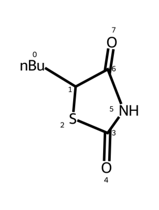 CCCCC1SC(=O)NC1=O